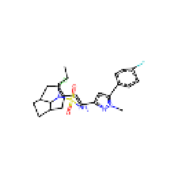 CCCN(C1C2CCC1CC(C=Cc1cc(-c3ccc(F)cc3)n(C)n1)=C(Cl)C2)S(N)(=O)=O